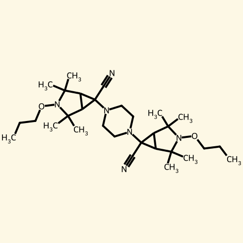 CCCON1C(C)(C)C2C(C1(C)C)C2(C#N)N1CCN(C2(C#N)C3C2C(C)(C)N(OCCC)C3(C)C)CC1